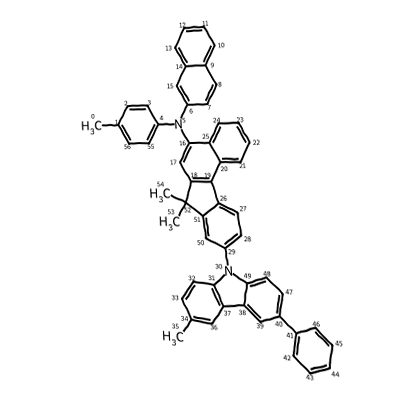 Cc1ccc(N(c2ccc3ccccc3c2)c2cc3c(c4ccccc24)-c2ccc(-n4c5ccc(C)cc5c5cc(-c6ccccc6)ccc54)cc2C3(C)C)cc1